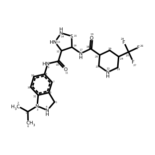 CC(C)N1NCc2cc(NC(=O)C3NNSC3NC(=O)C3CNCC(C(F)(F)F)C3)ccc21